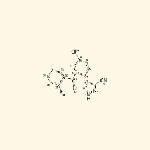 N#Cc1n[nH]cc1-c1ccc(Cl)cc1C(=O)c1ccccc1F